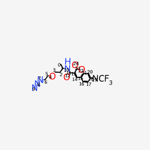 CC(CCOCCN=[N+]=[N-])NC(=O)c1cc2ccc(NC(F)(F)F)cc2oc1=O